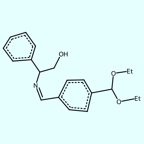 CCOC(OCC)c1ccc(/C=N\C(CO)c2ccccc2)cc1